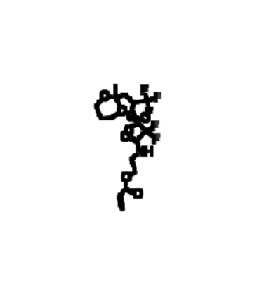 C=CC(=O)OCCNC(=O)C(F)(F)S(=O)(=O)OC(CC1(C)OCCCO1)C(F)(F)F